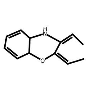 C/C=C1/NC2C=CC=CC2O/C1=C/C